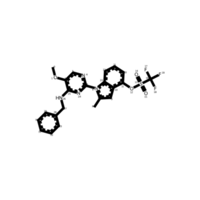 COc1cnc(-n2c(C)cc3c(OS(=O)(=O)C(F)(F)F)cccc32)nc1NCc1ccccc1